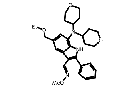 CCOCc1cc(N(C2CCOCC2)C2CCOCC2)c2[nH]c(-c3ccccc3)c(/C=N/OC)c2c1